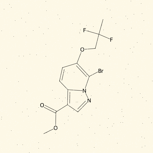 COC(=O)c1cnn2c(Br)c(OCC(C)(F)F)ccc12